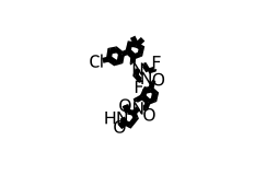 CC1(C)CCC(CN2CCN(C(=O)c3ccc4c(c3F)CN(C3CCC(=O)NC3=O)C4=O)C(CF)C2)=C(c2ccc(Cl)cc2)C1